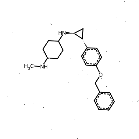 CNC1CCC(N[C@H]2C[C@@H]2c2ccc(OCc3ccccc3)cc2)CC1